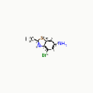 Cc1nc2c(Br)cc(N)cc2s1